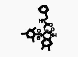 Cc1cc(C)c(S(=O)(=O)N2c3cc(C)c(C)cc3NC(=O)[C@H]2CC(=O)NCc2ccccc2)c(C)c1